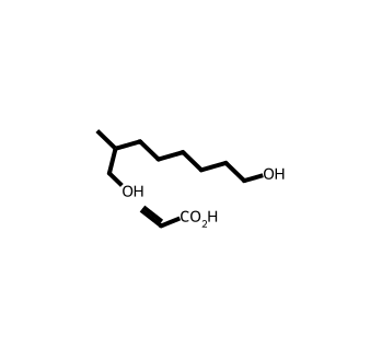 C=CC(=O)O.CC(CO)CCCCCCO